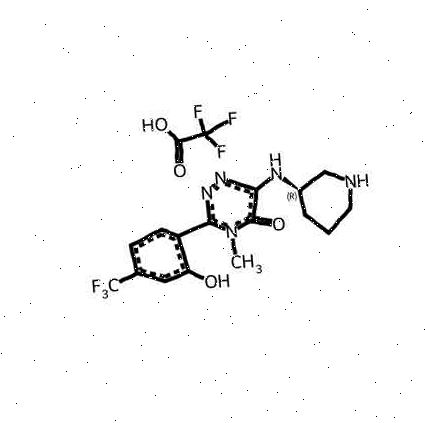 Cn1c(-c2ccc(C(F)(F)F)cc2O)nnc(N[C@@H]2CCCNC2)c1=O.O=C(O)C(F)(F)F